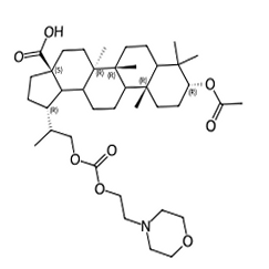 CC(=O)O[C@@H]1CC[C@@]2(C)C(CC[C@]3(C)C2CCC2C4[C@H](C(C)COC(=O)OCCN5CCOCC5)CC[C@]4(C(=O)O)CC[C@]23C)C1(C)C